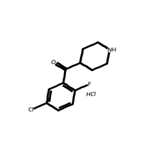 Cl.O=C(c1cc(Cl)ccc1F)C1CCNCC1